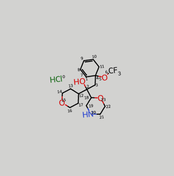 Cl.OC(CC1(OC(F)(F)F)C=CC=CC1)(C1CCOCC1)C1CNCCO1